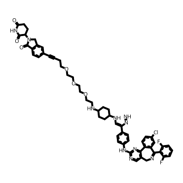 N=N/C(=C\NC1CCC(NCCOCCOCCOCCC#Cc2ccc3c(c2)CN(C2CCC(=O)NC2=O)C3=O)CC1)c1ccc(Nc2ncc3c(n2)-c2ccc(Cl)cc2C(c2c(F)cccc2F)=NC3)cc1